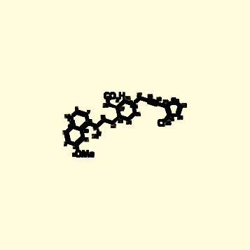 COc1ccc2nccc([C@@H](F)CC[C@@H]3CCN(CC#Cc4sccc4Cl)C[C@@H]3CC(=O)O)c2c1